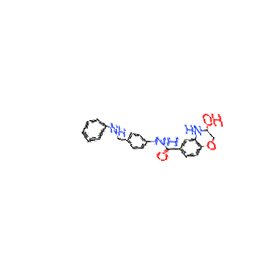 O=C(Nc1ccc(CNc2ccccc2)cc1)c1ccc2c(c1)NC(O)CO2